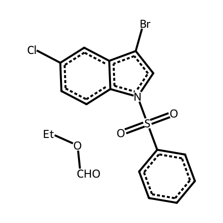 CCOC=O.O=S(=O)(c1ccccc1)n1cc(Br)c2cc(Cl)ccc21